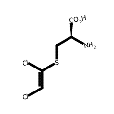 N[C@@H](CSC(Cl)=CCl)C(=O)O